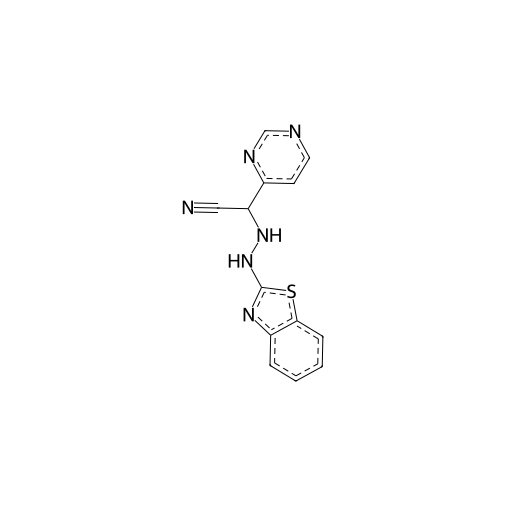 N#CC(NNc1nc2ccccc2s1)c1ccncn1